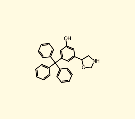 Oc1cc(C2CNCO2)cc(C(c2ccccc2)(c2ccccc2)c2ccccc2)c1